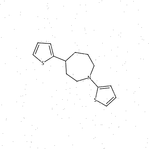 c1csc(C2CCCN(c3cccs3)CC2)c1